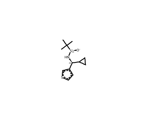 CC(C)(C)[S@@+]([O-])N[C@H](c1ccsc1)C1CC1